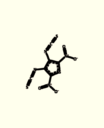 O=[N+]([O-])c1sc([N+](=O)[O-])c(N=C=S)c1N=C=S